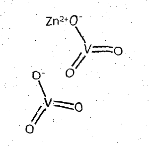 [O]=[V](=[O])[O-].[O]=[V](=[O])[O-].[Zn+2]